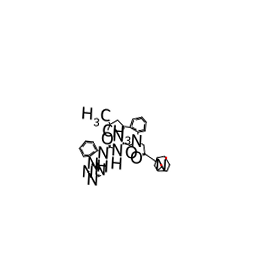 CC(C)CC1=NC(NC(=O)Nc2ccccc2-n2ncnn2)C(=O)N(CC(=O)N2CC3CCC(CC3)C2)c2ccccc21